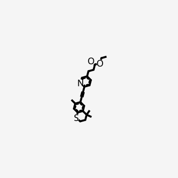 CCOC(=O)CCc1ccc(C#Cc2cc3c(cc2C)SCCC3(C)C)nc1